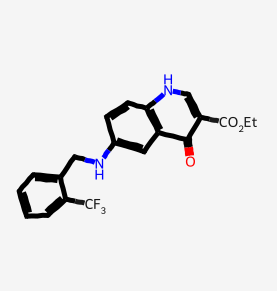 CCOC(=O)c1c[nH]c2ccc(NCc3ccccc3C(F)(F)F)cc2c1=O